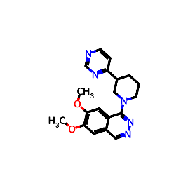 COc1cc2cnnc(N3CCCC(c4ccncn4)C3)c2cc1OC